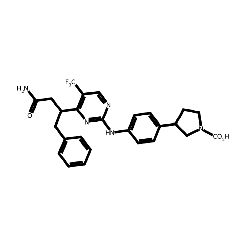 NC(=O)CC(Cc1ccccc1)c1nc(Nc2ccc(C3CCN(C(=O)O)C3)cc2)ncc1C(F)(F)F